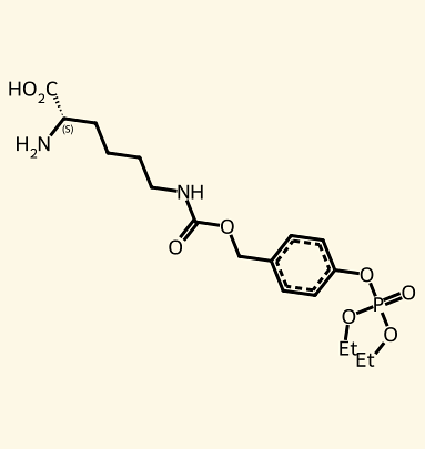 CCOP(=O)(OCC)Oc1ccc(COC(=O)NCCCC[C@H](N)C(=O)O)cc1